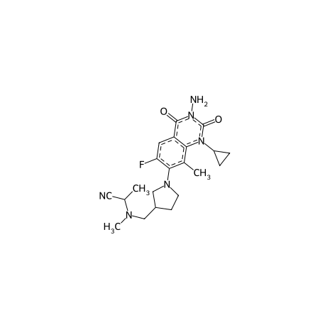 Cc1c(N2CCC(CN(C)C(C)C#N)C2)c(F)cc2c(=O)n(N)c(=O)n(C3CC3)c12